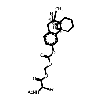 CC(=O)NC(C(=O)OCOC(=O)Oc1ccc2c(c1)[C@@]13CCCC[C@H]1[C@@H](C2)N(C)CC3)C(C)C